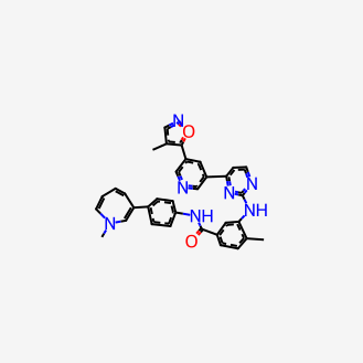 Cc1ccc(C(=O)Nc2ccc(C3=CN(C)C=CC=C3)cc2)cc1Nc1nccc(-c2cncc(-c3oncc3C)c2)n1